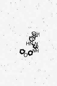 CB(O)N1CCC(Nc2cc(Nc3ccc(Oc4ccccc4)cc3)ncn2)C1